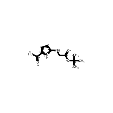 CC(C)(C)OC(=O)CNc1ccc(C(=O)O)[nH]1